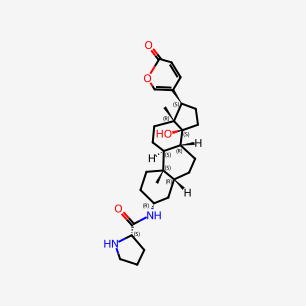 C[C@]12CC[C@@H](NC(=O)[C@@H]3CCCN3)C[C@H]1CC[C@@H]1[C@@H]2CC[C@]2(C)[C@@H](c3ccc(=O)oc3)CC[C@]12O